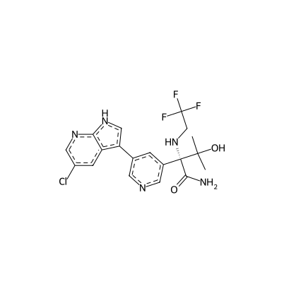 CC(C)(O)[C@@](NCC(F)(F)F)(C(N)=O)c1cncc(-c2c[nH]c3ncc(Cl)cc23)c1